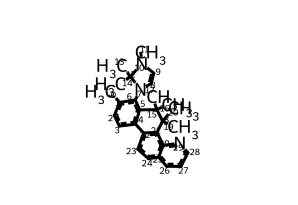 Cc1ccc2c(c1N1C=CN(C)C1(C)C)C(C)(C)C(C)(C)c1c-2ccc2cccnc12